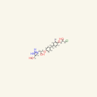 CC(C)(c1ccc(OC[C@@H](O)CN2C=C(CO)NN2)cc1)c1ccc(OC[C@@H](O)CCl)c(I)c1